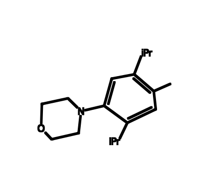 Cc1cc(C(C)C)c(N2CCOCC2)cc1C(C)C